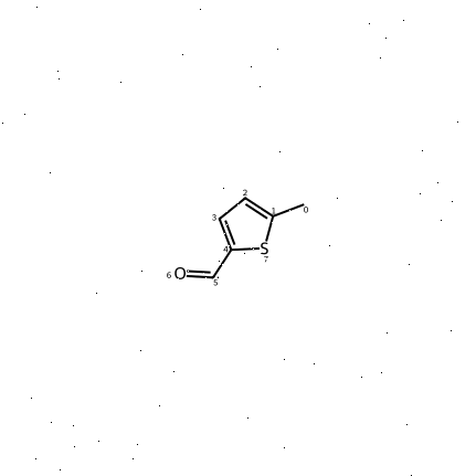 Cc1ccc([C]=O)s1